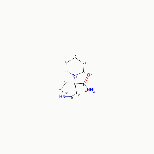 NC(=O)C1(N2CCCCC2)CCNCC1